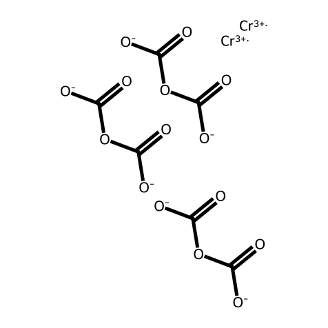 O=C([O-])OC(=O)[O-].O=C([O-])OC(=O)[O-].O=C([O-])OC(=O)[O-].[Cr+3].[Cr+3]